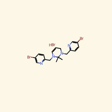 Br.CC1(C)N(Cc2ccc(Br)cn2)C=CCN1Cc1ccc(Br)cn1